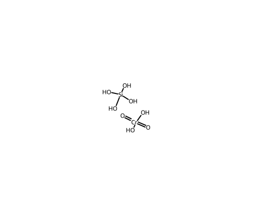 O[Si](O)(O)O.[O]=[Cr](=[O])([OH])[OH]